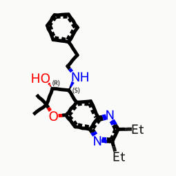 CCc1nc2cc3c(cc2nc1CC)[C@H](NCCc1ccccc1)[C@@H](O)C(C)(C)O3